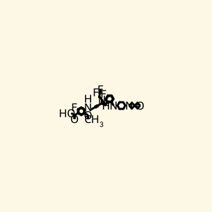 COc1cc(C(=O)O)c(F)cc1NCC#Cc1cc2c(N[C@H]3CC[C@H](N4CC5(COC5)C4)CC3)cccc2n1CC(F)(F)F